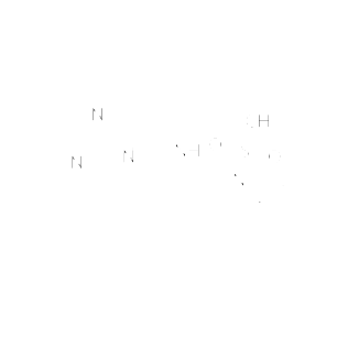 CS(=O)(=O)N1c2c(cccc2Nc2ccnc(N)n2)CC12CC2